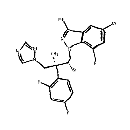 CCc1nn([C@H](C)[C@](O)(Cn2cncn2)c2ccc(F)cc2F)c2c(F)cc(Cl)cc12